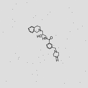 O=C(NCC(O)CN1CCc2ccccc2C1)c1cccc(CN2CCNCC2)c1